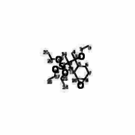 CCOC(C)(C1CCC2OC2C1)C(C)(C)[Si](OCC)(OCC)OCC